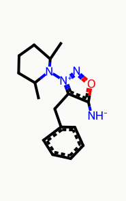 CC1CCCC(C)N1[n+]1noc([NH-])c1Cc1ccccc1